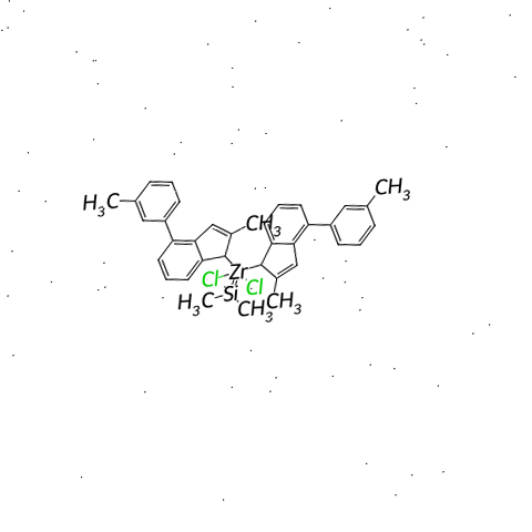 CC1=Cc2c(-c3cccc(C)c3)cccc2[CH]1[Zr]([Cl])([Cl])([CH]1C(C)=Cc2c(-c3cccc(C)c3)cccc21)=[Si](C)C